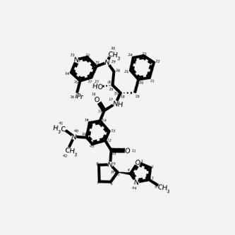 Cc1coc([C@H]2CCCN2C(=O)c2cc(C(=O)N[C@@H](Cc3ccccc3)[C@H](O)CN(C)c3cncc(C(C)C)c3)cc(N(C)C)c2)n1